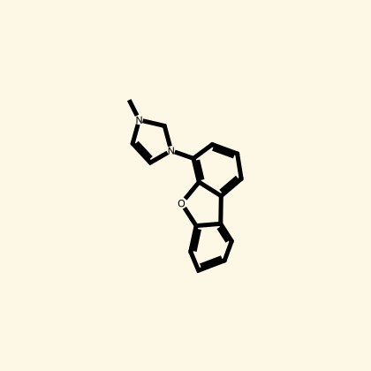 CN1C=CN(c2cccc3c2oc2ccccc23)C1